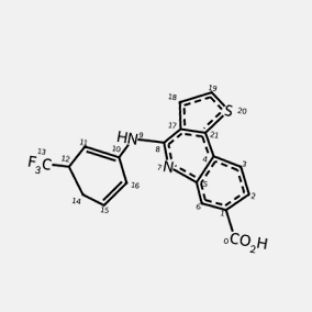 O=C(O)c1ccc2c(c1)nc(NC1=CC(C(F)(F)F)CC=C1)c1ccsc12